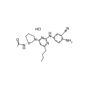 CCCCc1cc(N2CCC[C@@H](NC(C)=O)C2)nc(Nc2ccc(N)c(C#N)c2)n1.Cl